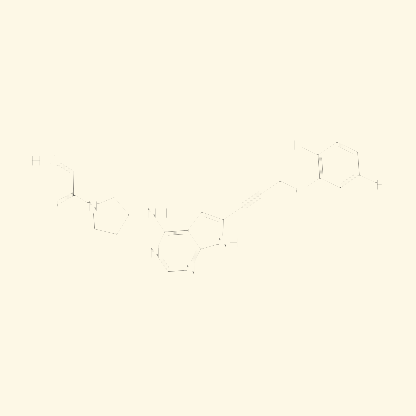 C=CC(=O)N1CC[C@@H](Nc2ncnc3[nH]c(C#CCOc4cc(F)ccc4F)cc23)C1